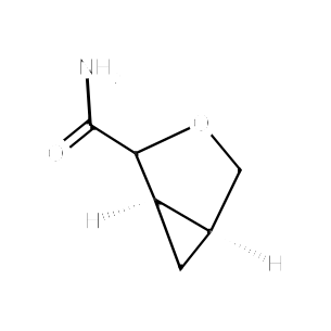 NC(=O)C1OC[C@H]2C[C@@H]12